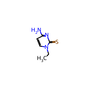 CCn1ccc(N)nc1=S